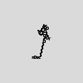 CCCCCCCCCCCCCCCCCCOCC1OCC(COC(=O)N(Cc2cccc[n+]2C)C(C)=O)O1.[I-]